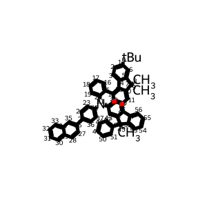 CC(C)(C)c1ccc2c(c1)C(C)(C)c1cccc(-c3ccccc3N(c3ccc(-c4ccc5ccccc5c4)cc3)c3ccc4c(c3)C(C)(c3ccccc3)c3ccccc3-4)c1-2